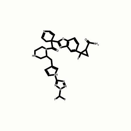 NC(=O)C1CC1(F)c1ccc2oc(C3(C(=O)N4CCNCC4CC4=C[SH](c5nnn(C(F)F)n5)C=C4)C=CN=CC3)nc2c1